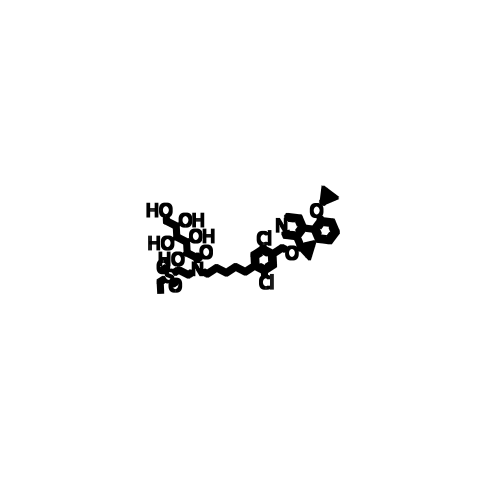 CCS(=O)(=O)CCN(CCCCCc1cc(Cl)c(COC2(c3cnccc3-c3ccccc3OC3CC3)CC2)cc1Cl)C(=O)[C@@H](O)[C@@H](O)[C@H](O)[C@@H](O)CO